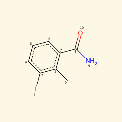 Cc1c(I)cccc1C(N)=O